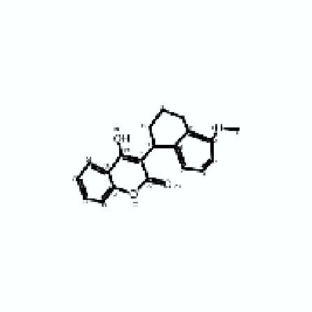 COc1cccc2c1CCCC2c1c(O)c2ccccc2oc1=O